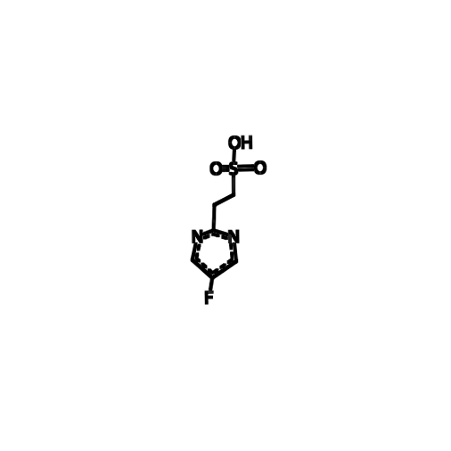 O=S(=O)(O)CCc1ncc(F)cn1